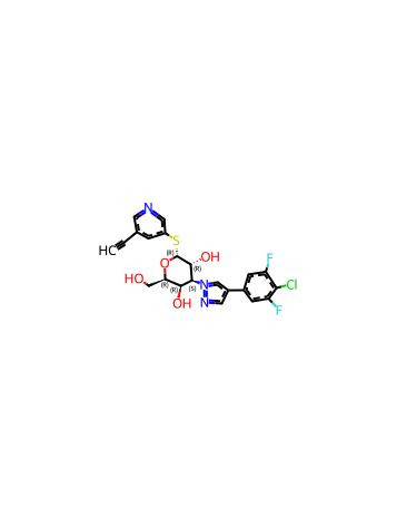 C#Cc1cncc(S[C@H]2O[C@H](CO)[C@H](O)[C@H](n3cc(-c4cc(F)c(Cl)c(F)c4)cn3)[C@H]2O)c1